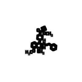 COc1cccc(C(C(=N)NCCc2ccccc2)N2CCN(C(=O)C3(OC)CCC3)CC2)c1OC